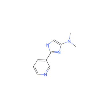 CN(C)C1=C[N]C(c2cccnc2)=N1